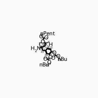 CCCCCOC(=O)O[C@@H](C)C[C@@](N)(Cc1ccc(OC(=O)OCCCC)c(OC(=O)OCCCC)c1)C(=O)O